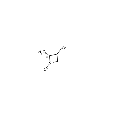 CC(C)C1C[S+]([O-])[C@@H]1C